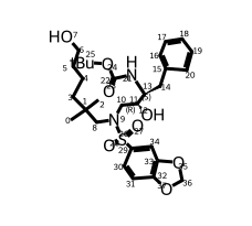 CC(C)(CCCCO)CN(C[C@@H](O)[C@H](Cc1ccccc1)NC(=O)OC(C)(C)C)S(=O)(=O)c1ccc2c(c1)OCO2